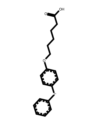 O=C(O)CCCCCOc1ccc([I+]c2ccccc2)cc1